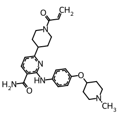 C=CC(=O)N1CCC(c2ccc(C(N)=O)c(Nc3ccc(OC4CCN(C)CC4)cc3)n2)CC1